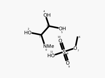 CNC(O)C(O)O.COS(=O)(=O)O